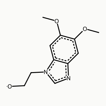 COc1cc2ncn(CC[O])c2cc1OC